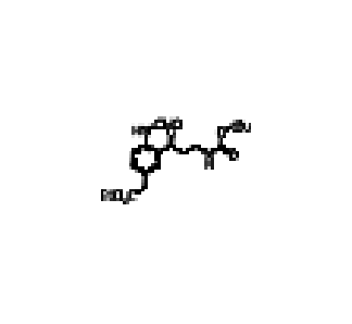 CCOC(=O)Cc1ccc(NC=O)c(C(=O)CCNC(=O)OC(C)(C)C)c1